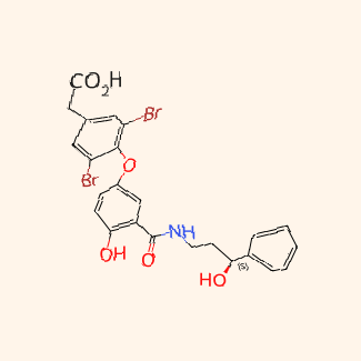 O=C(O)Cc1cc(Br)c(Oc2ccc(O)c(C(=O)NCC[C@H](O)c3ccccc3)c2)c(Br)c1